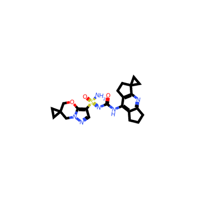 NS(=O)(=NC(=O)Nc1c2c(nc3c1CCC31CC1)CCC2)c1cnn2c1OCC1(CC1)C2